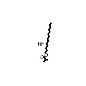 C=C(C)C(=O)OCCCCCCCCCCCCCC.F